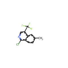 Cc1ccc2c(Cl)ncc(C(F)(F)F)c2c1